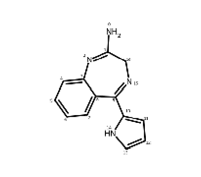 NC1=Nc2ccccc2C(c2ccc[nH]2)=NC1